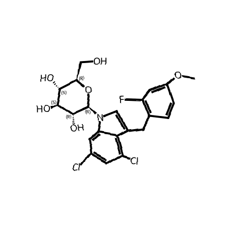 COc1ccc(Cc2cn([C@@H]3O[C@H](CO)[C@@H](O)[C@H](O)[C@H]3O)c3cc(Cl)cc(Cl)c23)c(F)c1